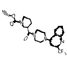 CC(C)(C)OC(=O)N1CCC[C@@H](C(=O)N2CCN(c3cc(C(F)(F)F)nc4ccccc34)CC2)C1